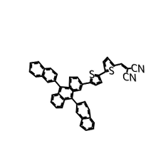 N#CC(C#N)=Cc1ccc(-c2ccc(-c3ccc4c(-c5ccc6ccccc6c5)c5ccccc5c(-c5ccc6ccccc6c5)c4c3)s2)s1